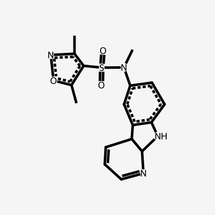 Cc1noc(C)c1S(=O)(=O)N(C)c1ccc2c(c1)C1C=CC=NC1N2